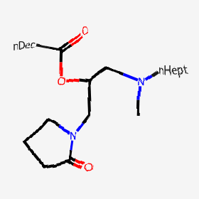 CCCCCCCCCCC(=O)OC(CN(C)CCCCCCC)CN1CCCC1=O